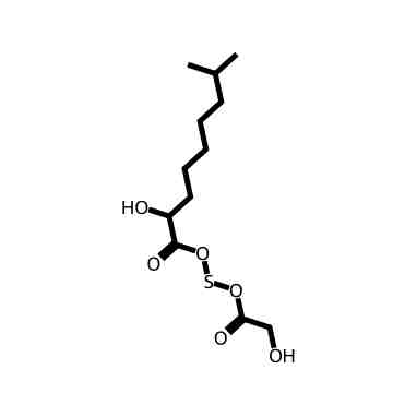 CC(C)CCCCCC(O)C(=O)OSOC(=O)CO